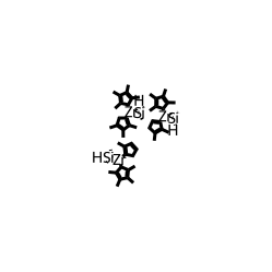 CC1=C(C)C(C)=[C]([Zr]([CH]2C(C)=C(C)C(C)=C2C)[SiH](C)C)C1.CC1=C(C)[C]([Zr]([CH]2C(C)=C(C)C(C)=C2C)[SiH](C)C)=CC1.CC1=[C]([Zr]([CH]2C(C)=C(C)C(C)=C2C)[SiH](C)C)CC=C1